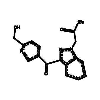 CC(C)(C)C(=O)Cn1nc(C(=O)c2ccc(CO)nc2)c2ccccc21